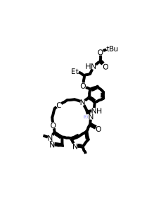 CCC(CNC(=O)OC(C)(C)C)Oc1cccc2c1N1CCCCCOc3c(cnn3C)-c3cc(cc(C)n3)C(=O)/N=C/1N2